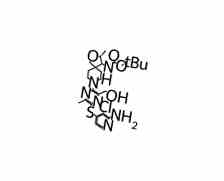 Cc1nc(N2CCC3(CC2)CO[C@@H](C)[C@H]3NC(=O)OC(C)(C)C)c(CO)nc1Sc1ccnc(N)c1Cl